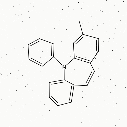 Cc1ccc2c(c1)N(c1ccccc1)c1ccccc1C=C2